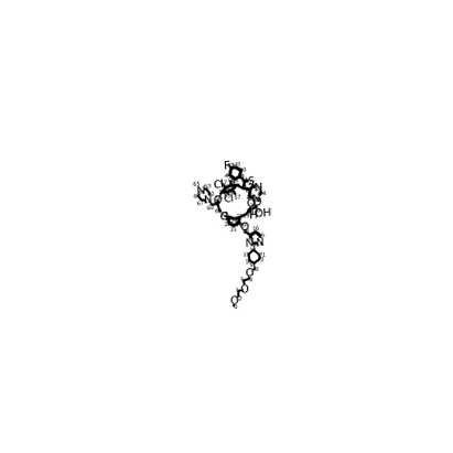 COCCOCCOC[C@H]1CC[C@H](c2nccc(COc3ccc4cc3C[C@H](C(=O)O)Oc3ncnc5sc(-c6ccc(F)cc6)c(c35)-c3c(C)c(Cl)c(c(Cl)c3C)OC(CN3CCN(C)CC3)CO4)n2)CC1